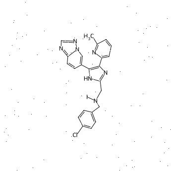 Cc1cccc(-c2nc(CN(I)Cc3ccc(Cl)cc3)[nH]c2-c2ccc3ncnn3c2)n1